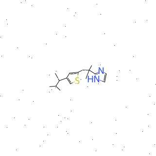 CC(C)C(C)c1csc(CC(C)(C)c2ncc[nH]2)c1